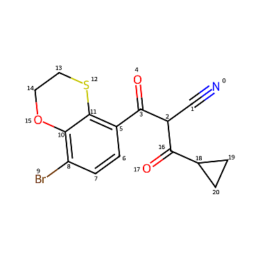 N#CC(C(=O)c1ccc(Br)c2c1SCCO2)C(=O)C1CC1